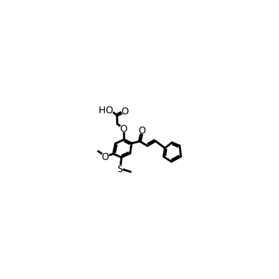 COc1cc(OCC(=O)O)c(C(=O)C=Cc2ccccc2)cc1SC